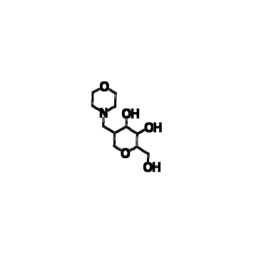 OCC1OCC(CN2CCOCC2)C(O)C1O